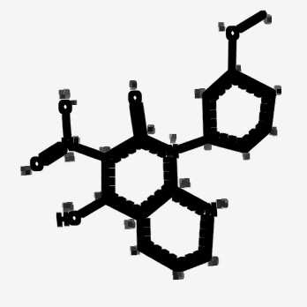 COc1cccc(-n2c(=O)c([N+](=O)[O-])c(O)c3cccnc32)c1